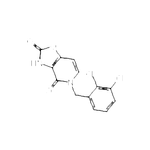 O=c1[nH]c2c(=O)n(Cc3cccc(Cl)c3Cl)ccc2o1